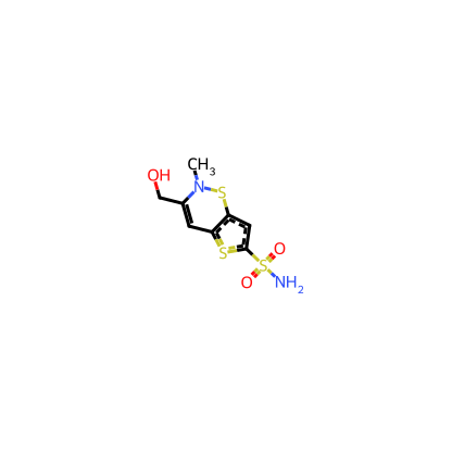 CN1Sc2cc(S(N)(=O)=O)sc2C=C1CO